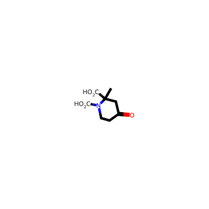 CC1(C(=O)O)CC(=O)CCN1C(=O)O